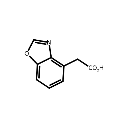 O=C(O)Cc1cccc2ocnc12